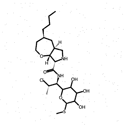 CCCC[C@@H]1CCO[C@@H]2[C@H](CN[C@@H]2C(=O)N[C@@H](C2OC(SC)C(O)C(O)C2O)[C@H](C)Cl)C1